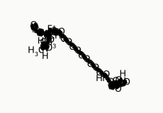 CCN(c1cc(-c2ccc(CN3CCOCC3)cc2)cc(C(=O)NCc2c(C)cc(C)[nH]c2=O)c1C)C1CCN(C(=O)CCOCCOCCOCCOCCOCCOCCOCCOCCOCCC(=O)NCCOc2cccc3c2C(=O)N(C2CCC(=O)NC2=O)C3=O)CC1